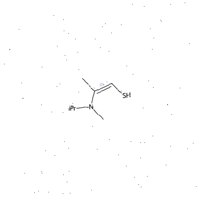 C/C(=C/S)N(C)C(C)C